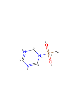 CS(=O)(=O)[N+]1C=NC=NC1